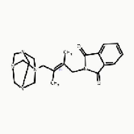 C/C(CN1C(=O)c2ccccc2C1=O)=C(/C)C[N+]12CN3CN(CN(C3)C1)C2